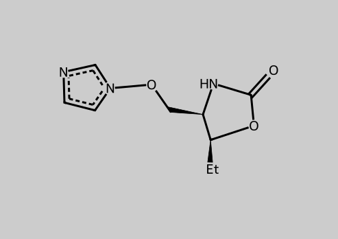 CC[C@@H]1OC(=O)N[C@@H]1COn1ccnc1